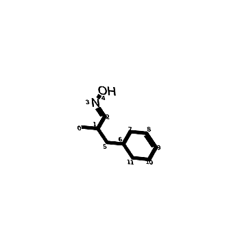 CC(C=NO)CC1CC=CCC1